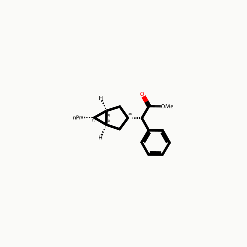 CCC[C@@H]1[C@H]2C[C@H](C(C(=O)OC)c3ccccc3)C[C@@H]12